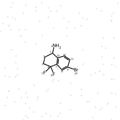 NC1CCC(F)(F)c2cc(Br)ccc21